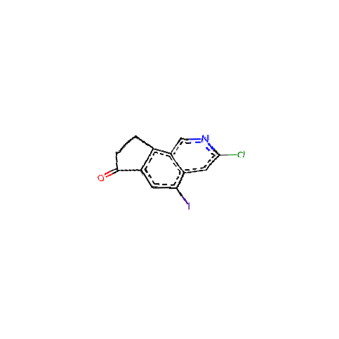 O=C1CCc2c1cc(I)c1cc(Cl)ncc21